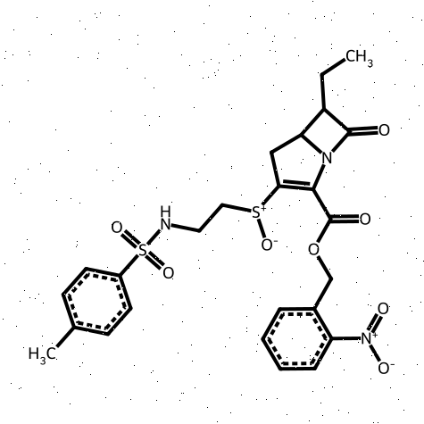 CCC1C(=O)N2C(C(=O)OCc3ccccc3[N+](=O)[O-])=C([S+]([O-])CCNS(=O)(=O)c3ccc(C)cc3)CC12